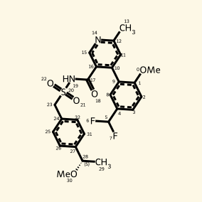 COc1ccc(C(F)F)cc1-c1cc(C)ncc1C(=O)NS(=O)(=O)Cc1ccc([C@H](C)OC)cc1